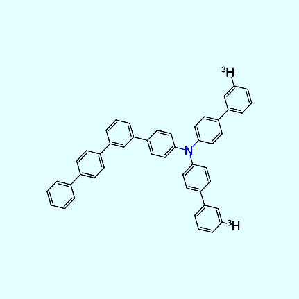 [3H]c1cccc(-c2ccc(N(c3ccc(-c4cccc([3H])c4)cc3)c3ccc(-c4cccc(-c5ccc(-c6ccccc6)cc5)c4)cc3)cc2)c1